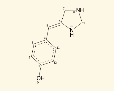 Oc1ccc(C=C2CNCN2)cc1